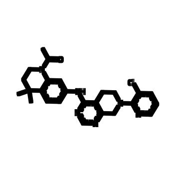 CC(=O)N1CCC(C)(C)c2ccc(Nc3ncnc4c3CCN(c3ncccc3Cl)C4)cc21